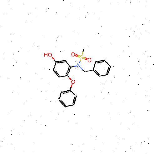 CS(=O)(=O)N(Cc1ccccc1)c1cc(O)ccc1Oc1ccccc1